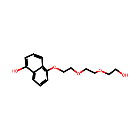 OCCOCCOCCOc1cccc2c(O)cccc12